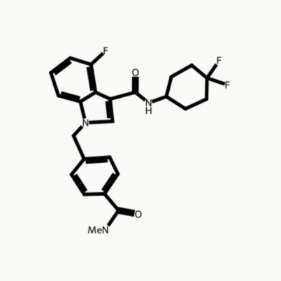 CNC(=O)c1ccc(Cn2cc(C(=O)NC3CCC(F)(F)CC3)c3c(F)cccc32)cc1